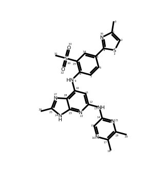 Cc1csc(-c2ccc(Nc3cc(Nc4cnc(C)c(C)n4)nc4[nH]c(C)nc34)c(S(C)(=O)=O)c2)n1